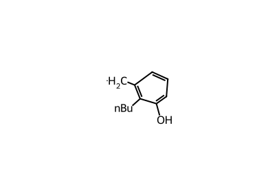 [CH2]c1cccc(O)c1CCCC